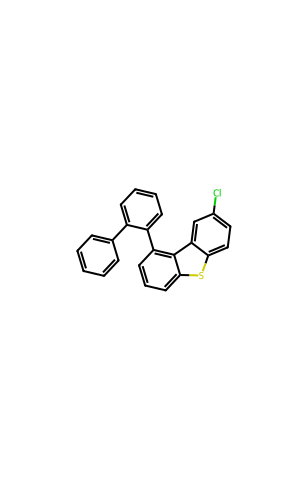 Clc1ccc2sc3cccc(-c4ccccc4-c4ccccc4)c3c2c1